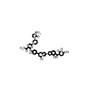 CCC1CC(c2ccc(Nc3nc(N4CCC[C@@H](N5CCN(C)C5=O)C4)cnc3C(N)=O)cc2)CC2CC([C@H]3Cc4ccc5c(C6CCC(O)NC6=O)noc5c4C3)=CN12